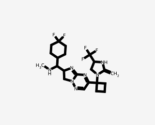 C=C1NC(C(F)(F)F)CN1C1(C2=NC3=NC(C(NC)C4CCC(F)(F)CC4)CN3N=C2)CCC1